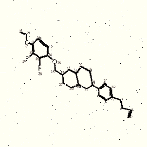 C=CCCc1ccc(C2CCC3CC(COC4C=CC(OCC)=C(F)C4F)CCC3C2)cc1